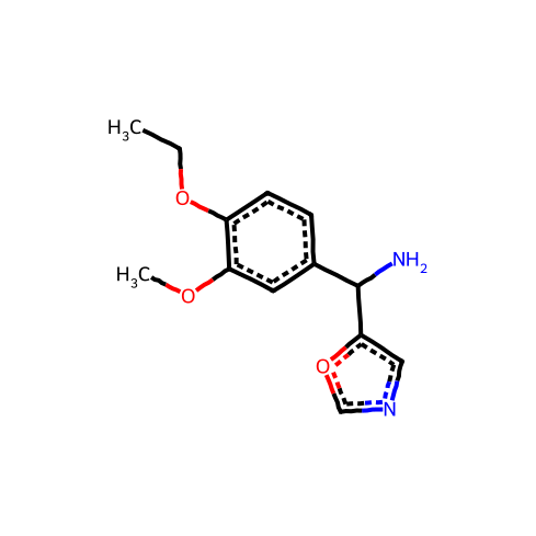 CCOc1ccc(C(N)c2cnco2)cc1OC